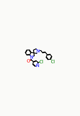 O=C(c1ccnc(Cl)c1)N1CC2(CCN(C/C=C/c3ccc(Cl)cc3)C2)c2ccccc21